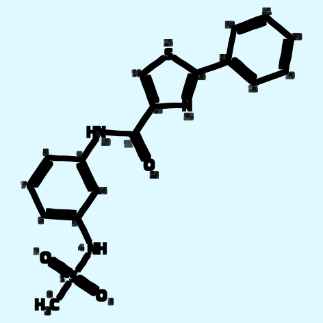 CS(=O)(=O)Nc1cccc(NC(=O)c2csc(-c3ccccc3)n2)c1